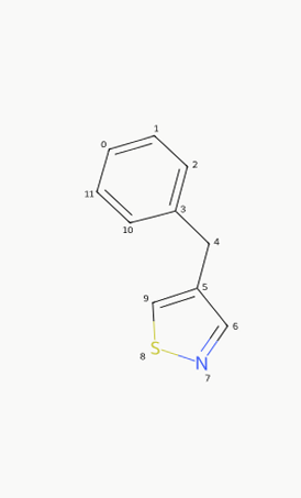 c1ccc(Cc2cnsc2)cc1